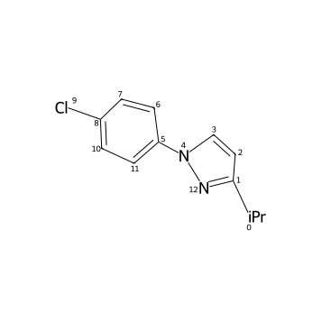 CC(C)c1ccn(-c2ccc(Cl)cc2)n1